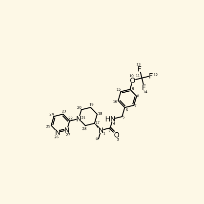 CN(C(=O)NCc1ccc(OC(F)(F)F)cc1)[C@@H]1CCCN(c2cccnn2)C1